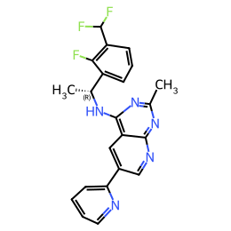 Cc1nc(N[C@H](C)c2cccc(C(F)F)c2F)c2cc(-c3ccccn3)cnc2n1